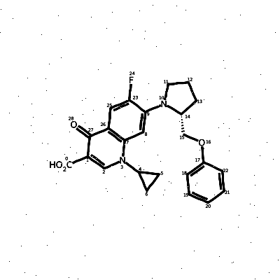 O=C(O)c1cn(C2CC2)c2cc(N3CCC[C@@H]3COc3ccccc3)c(F)cc2c1=O